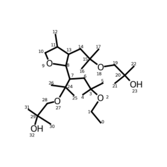 CCOC(C)(C)CC(C1OCC(C)C1CC(C)(C)OCC(C)(C)O)C(C)(C)OCC(C)(C)O